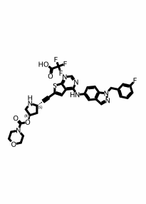 O=C(O)C(F)(F)F.O=C(O[C@H]1CN[C@H](C#Cc2cc3c(Nc4ccc5c(cnn5Cc5cccc(F)c5)c4)ncnc3s2)C1)N1CCOCC1